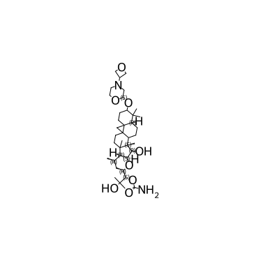 C[C@@H]1C[C@H]([C@H](OC(N)=O)C(C)(C)O)O[C@H]2[C@H]1C1(C)CCC34CC35CCC(O[C@H]3CN(C6COC6)CCO3)C(C)(C)[C@@H]5CCC4[C@]1(C)[C@H]2O